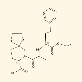 CCOC(=O)[C@H](CCc1ccccc1)NC(C)C(=O)N1CC2(CC[C@H]1C(=O)O)OCCO2